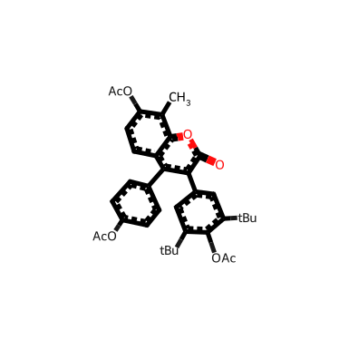 CC(=O)Oc1ccc(-c2c(-c3cc(C(C)(C)C)c(OC(C)=O)c(C(C)(C)C)c3)c(=O)oc3c(C)c(OC(C)=O)ccc23)cc1